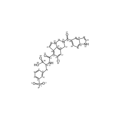 CS(=O)(=O)c1cccc(CC(NC(=O)c2c(Cl)cc3c4c2ccn4CN(C(=O)c2ccc4[nH]ccc4c2)C3)C(=O)O)c1